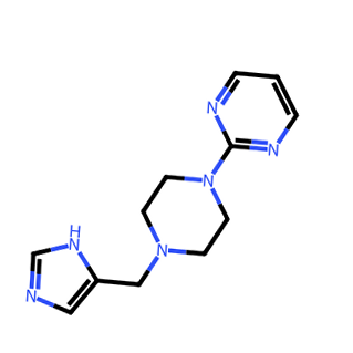 c1cnc(N2CCN(Cc3cnc[nH]3)CC2)nc1